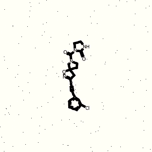 O=C1NCCN1C(=O)N1CCC2(CC(C#Cc3cccc(Cl)c3)=NO2)C1